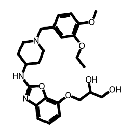 CCOc1cc(CN2CCC(Nc3nc4cccc(OCC(O)CO)c4o3)CC2)ccc1OC